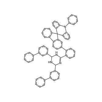 c1ccc(-c2cccc(C3N=C(c4ccccc4-c4ccc5c(c4)C4(c6ccccc6-5)c5ccccc5N(c5ccccc5)c5ccccc54)NC(c4cccc(-c5ccccc5)c4)N3)c2)cc1